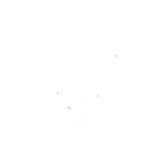 O=C(O)c1c(NS(=O)(=O)c2ccccc2NCCCN2CCc3ccccc3C2)ccc2c1CCCC2